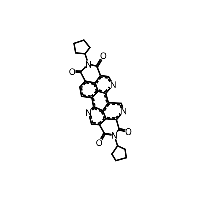 O=C1c2ccc3c4ncc5c6c(ncc(c7ncc(c2c37)C(=O)N1C1CCCC1)c64)C(=O)N(C1CCCC1)C5=O